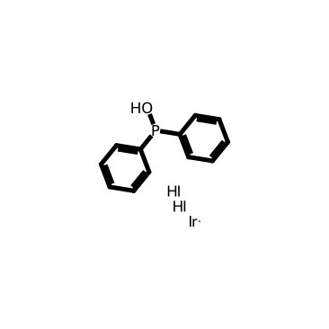 I.I.OP(c1ccccc1)c1ccccc1.[Ir]